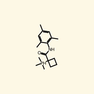 Cc1cc(C)c(NC(=O)C2([PH](C)(C)C)CCC2)c(C)c1